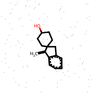 C=C1c2ccccc2CC12CCC(O)CC2